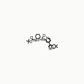 CC1(C)Cc2c(-c3ccnc(NC(=O)[C@H]4CCC[C@@H](NC(=O)OC(C)(C)C)C4)c3)cnn2C1